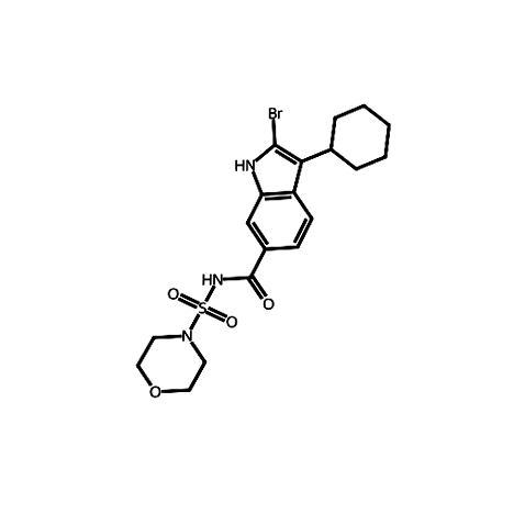 O=C(NS(=O)(=O)N1CCOCC1)c1ccc2c(C3CCCCC3)c(Br)[nH]c2c1